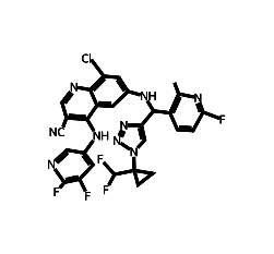 Cc1nc(F)ccc1C(Nc1cc(Cl)c2ncc(C#N)c(Nc3cnc(F)c(F)c3)c2c1)c1cn(C2(C(F)F)CC2)nn1